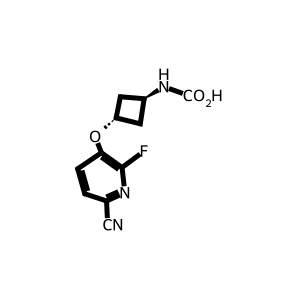 N#Cc1ccc(O[C@H]2C[C@H](NC(=O)O)C2)c(F)n1